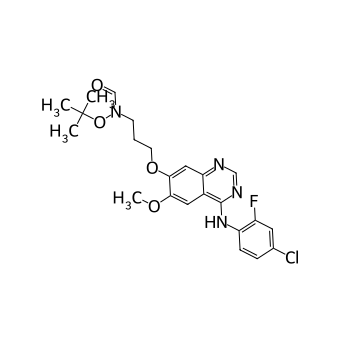 COc1cc2c(Nc3ccc(Cl)cc3F)ncnc2cc1OCCCN(C=O)OC(C)(C)C